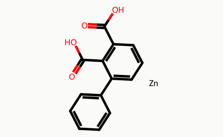 O=C(O)c1cccc(-c2ccccc2)c1C(=O)O.[Zn]